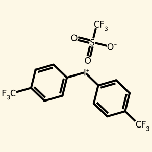 FC(F)(F)c1ccc([I+]c2ccc(C(F)(F)F)cc2)cc1.O=S(=O)([O-])C(F)(F)F